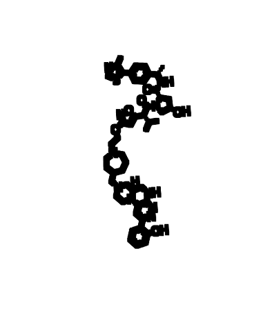 Cc1ncsc1-c1ccc([C@H](C)NC(=O)[C@@H]2C[C@@H](O)CN2C(=O)[C@@H](c2cc(OCCN3CCCC(CN4CCN5c6cc(-c7ccccc7O)nnc6NC[C@H]5C4)CC3)no2)C(C)C)cc1